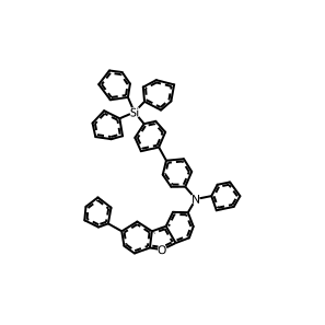 c1ccc(-c2ccc3oc4ccc(N(c5ccccc5)c5ccc(-c6ccc([Si](c7ccccc7)(c7ccccc7)c7ccccc7)cc6)cc5)cc4c3c2)cc1